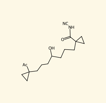 CC(=O)C1(CCCC(O)CCCC2(C(=O)NC#N)CC2)CC1